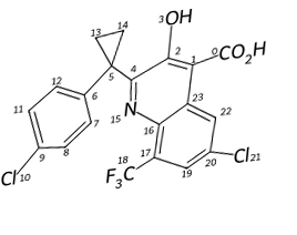 O=C(O)c1c(O)c(C2(c3ccc(Cl)cc3)CC2)nc2c(C(F)(F)F)cc(Cl)cc12